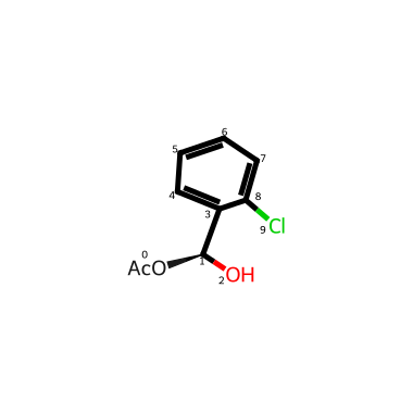 CC(=O)O[C@H](O)c1ccccc1Cl